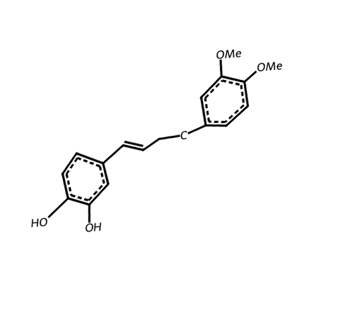 COc1ccc(CC/C=C/c2ccc(O)c(O)c2)cc1OC